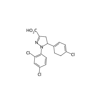 O=C(O)C1=NN(c2ccc(Cl)cc2Cl)C(C2=CC=C(Cl)CC2)C1